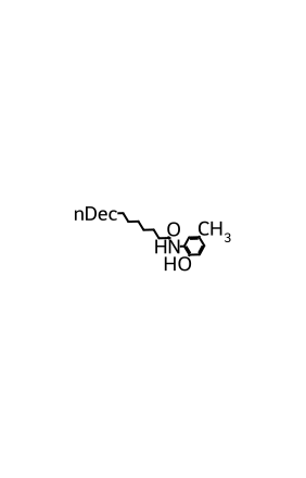 CCCCCCCCCCCCCCCCC(=O)Nc1cc(C)ccc1O